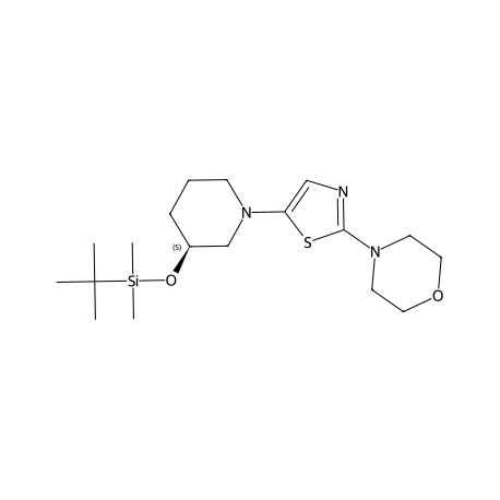 CC(C)(C)[Si](C)(C)O[C@H]1CCCN(c2cnc(N3CCOCC3)s2)C1